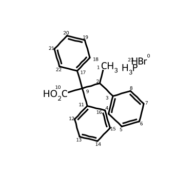 Br.CC(c1ccccc1)C(C(=O)O)(c1ccccc1)c1ccccc1.P